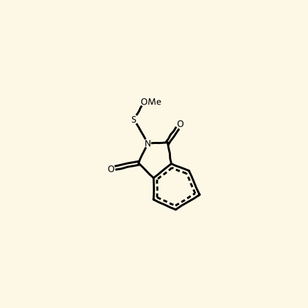 COSN1C(=O)c2ccccc2C1=O